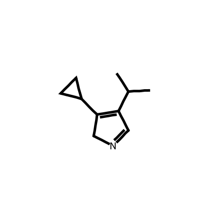 CC(C)C1=C(C2CC2)CN=C1